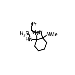 CNC1(NC)CCCCC1(N[SiH3])NCC(C)C